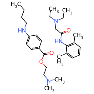 CCCCNc1ccc(C(=O)OCCN(C)C)cc1.CCN(CC)CC(=O)Nc1c(C)cccc1C